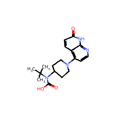 CC(C)(C)N(C(=O)O)C1CCN(c2ccnc3[nH]c(=O)ccc23)CC1